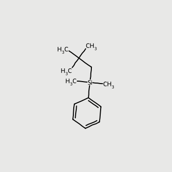 CC(C)(C)C[Si](C)(C)c1ccccc1